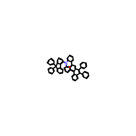 c1ccc(-c2c(-c3ccccc3)c3cc(-c4ccccc4N(c4ccccc4)c4cccc5c4-c4ccccc4C5(c4ccccc4)c4ccccc4)ccc3c3ccccc23)cc1